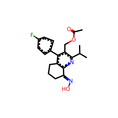 CC(=O)OCc1c(C(C)C)nc2c(c1-c1ccc(F)cc1)CCCC2=NO